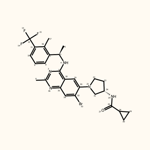 Cc1nc(N[C@H](C)c2cccc(C(F)(F)F)c2C)c2cc(N3CC[C@H](NC(=O)C4CC4)C3)c(Br)cc2n1